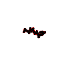 c1ccc2c(c1)Oc1c(ccc3c4ccccc4n(-c4ccc(-n5c6ccccc6c6c(-c7ccc8c(c7)c7cccc9c7n8-c7ccccc7C97c8ccccc8Sc8cc9c(cc87)c7ccccc7n9-c7ccc(-n8c9ccccc9c9ccccc98)cc7)cccc65)cc4)c13)C21c2ccccc2-n2c3ccccc3c3cccc1c32